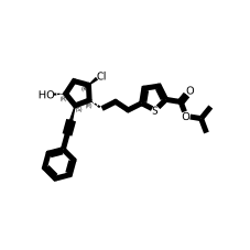 CC(C)OC(=O)c1ccc(CCC[C@@H]2[C@@H](C#Cc3ccccc3)[C@H](O)C[C@H]2Cl)s1